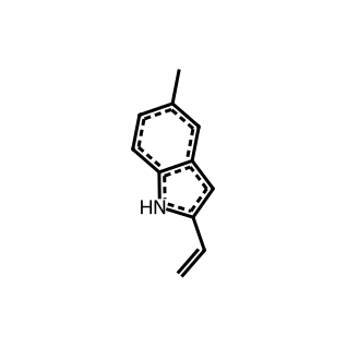 C=Cc1cc2cc(C)ccc2[nH]1